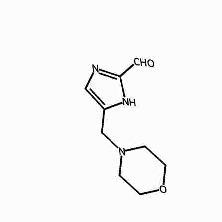 O=Cc1ncc(CN2CCOCC2)[nH]1